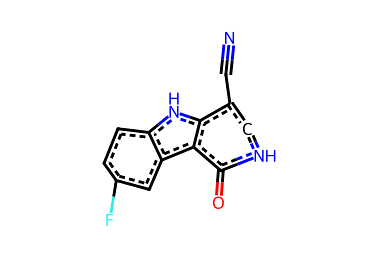 N#Cc1c[nH]c(=O)c2c1[nH]c1ccc(F)cc12